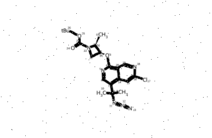 C[C@H]1[C@H](Oc2ncc(C(C)(C)N=[N+]=[N-])c3cc(Cl)ncc23)CN1C(=O)OC(C)(C)C